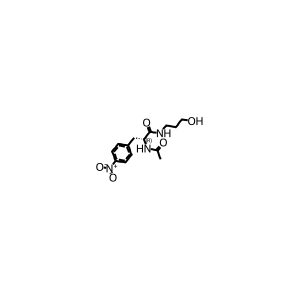 CC(=O)N[C@H](Cc1ccc([N+](=O)[O-])cc1)C(=O)NCCCO